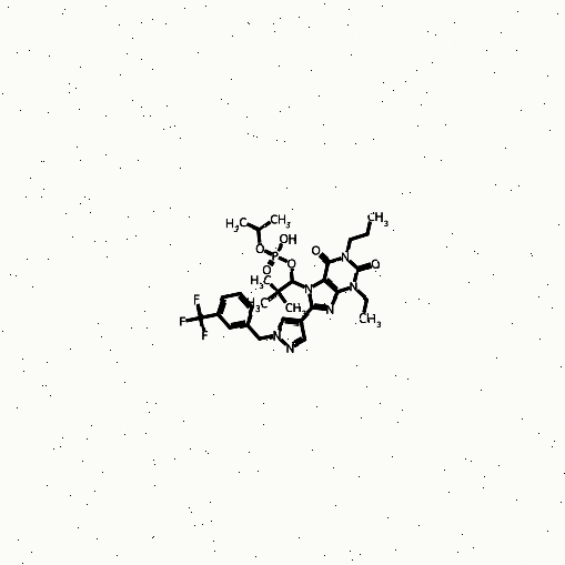 CCCn1c(=O)c2c(nc(-c3cnn(Cc4cccc(C(F)(F)F)c4)c3)n2C(OP(=O)(O)OC(C)C)C(C)(C)C)n(CC)c1=O